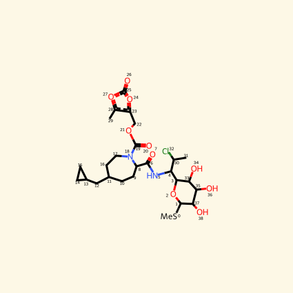 CSC1OC(C(NC(=O)C2CCC(CC3CC3)CCN2C(=O)OCc2oc(=O)oc2C)C(C)Cl)C(O)C(O)C1O